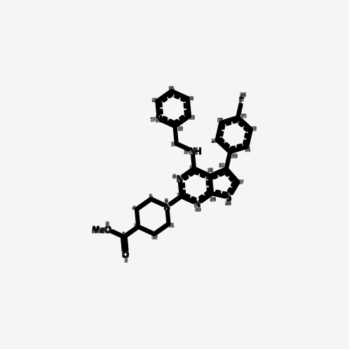 COC(=O)C1CCN(c2nc(NCc3ccccn3)c3c(-c4ccc(F)cc4)csc3n2)CC1